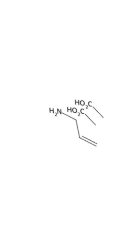 C=CCN.CC(=O)O.CC(=O)O